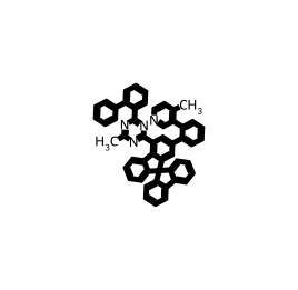 Cc1nc(-c2ccccc2-c2ccccc2)nc(-c2cc(-c3ccccc3-c3cnccc3C)cc3c2-c2ccccc2C32c3ccccc3-c3ccccc32)n1